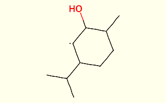 CC(C)C1[CH]C(O)C(C)CC1